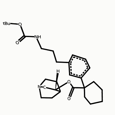 CC(C)(C)OC(=O)NCCCc1cccc(C2(C(=O)O[C@H]3CN4CCC3CC4)CCCCC2)c1